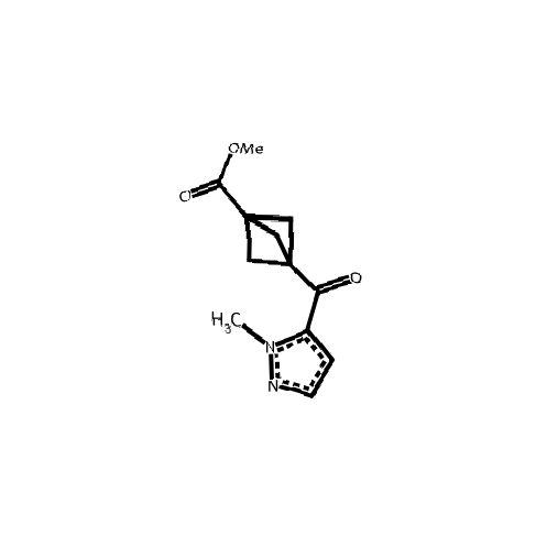 COC(=O)C12CC(C(=O)c3ccnn3C)(C1)C2